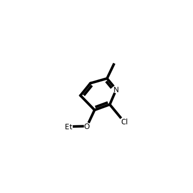 CCOc1ccc(C)nc1Cl